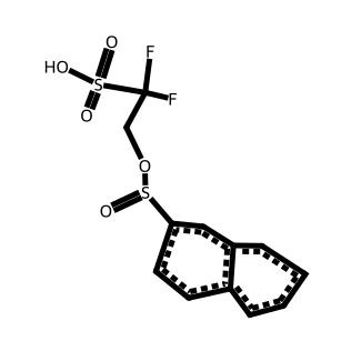 O=S(OCC(F)(F)S(=O)(=O)O)c1ccc2ccccc2c1